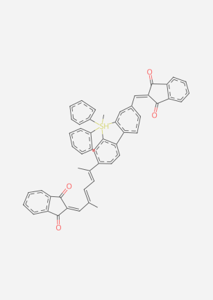 C/C(C=C1C(=O)c2ccccc2C1=O)=C\C=C(/C)c1ccc2c(c1)[SH](C)(c1ccccc1)(c1ccccc1)c1cc(C=C3C(=O)c4ccccc4C3=O)ccc1-2